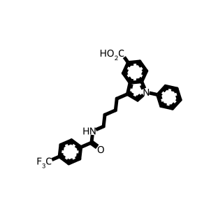 O=C(O)c1ccc2c(c1)c(CCCCNC(=O)c1ccc(C(F)(F)F)cc1)cn2-c1ccccc1